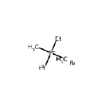 CC[P+](C)(C)C(C)C.[Br-]